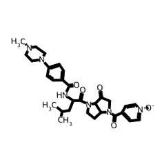 CC(C)CC(NC(=O)c1ccc(N2CCN(C)CC2)cc1)C(=O)N1CCC2C1C(=O)CN2C(=O)c1cc[n+]([O-])cc1